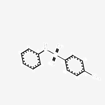 O=S(=O)(Nc1ccccc1)c1c[c]c(Cl)cc1